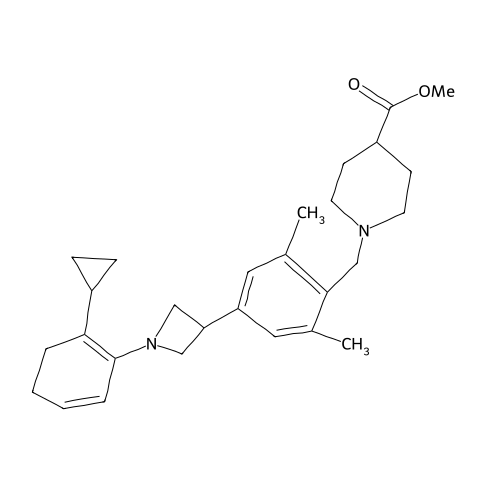 COC(=O)C1CCN(Cc2c(C)cc(C3CN(C4=C(C5CC5)CCC=C4)C3)cc2C)CC1